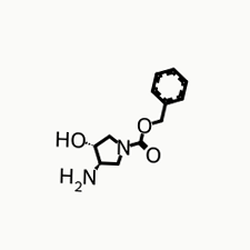 N[C@@H]1CN(C(=O)OCc2ccccc2)C[C@H]1O